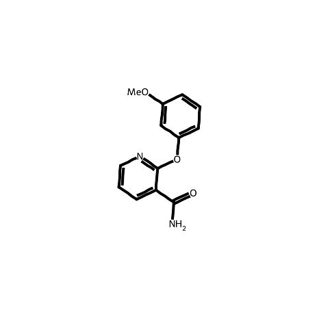 COc1cccc(Oc2ncccc2C(N)=O)c1